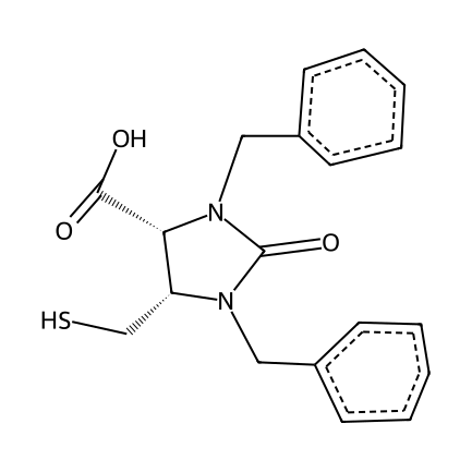 O=C(O)[C@H]1[C@@H](CS)N(Cc2ccccc2)C(=O)N1Cc1ccccc1